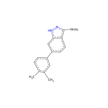 CC(=O)Nc1n[nH]c2cc(-c3ccc(C)c(C)c3)ccc12